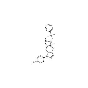 CO[C@H](CC(C)(C)c1ccccc1)[C@@]1(C)Cc2cnn(-c3ccc(F)cc3)c2C=C1C